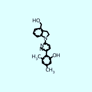 Cc1cc(C)c(-c2ccc(N3CCc4c(CO)cccc43)nn2)c(O)c1